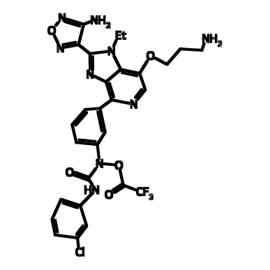 CCn1c(-c2nonc2N)nc2c(-c3cccc(N(OC(=O)C(F)(F)F)C(=O)Nc4cccc(Cl)c4)c3)ncc(OCCCN)c21